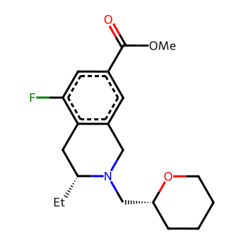 CC[C@@H]1Cc2c(F)cc(C(=O)OC)cc2CN1C[C@H]1CCCCO1